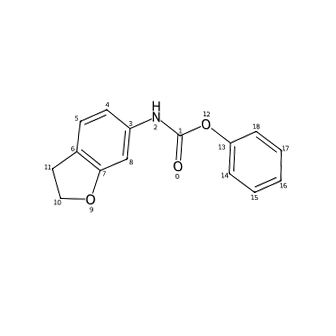 O=C(Nc1ccc2c(c1)OCC2)Oc1ccccc1